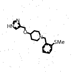 CSc1ccccc1CN1CCC(OCc2c[nH]cn2)CC1